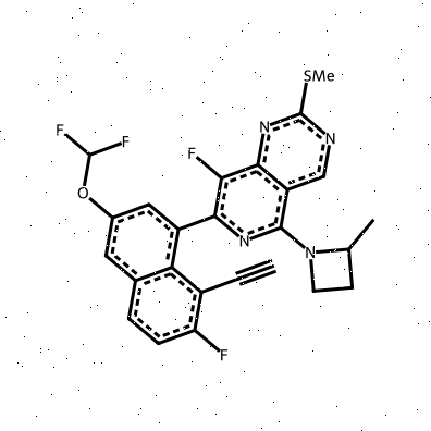 C#Cc1c(F)ccc2cc(OC(F)F)cc(-c3nc(N4CCC4C)c4cnc(SC)nc4c3F)c12